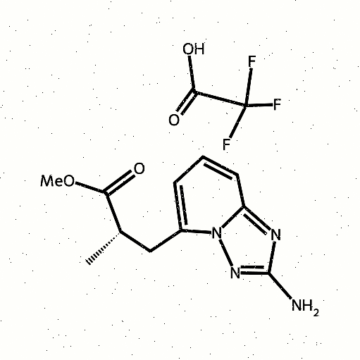 COC(=O)[C@@H](C)Cc1cccc2nc(N)nn12.O=C(O)C(F)(F)F